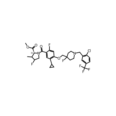 COC(=O)[C@@H]1C(C)C(F)CN1C(=O)c1cc(C2CC2)c(OCC2(F)CCN(Cc3cc(C(F)(F)F)ccc3Cl)CC2)cc1F